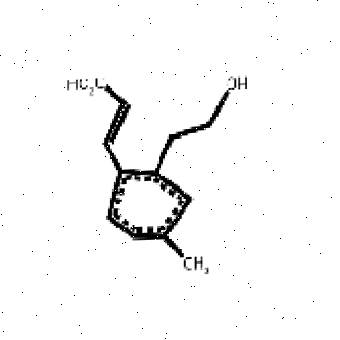 Cc1ccc(C=CC(=O)O)c(CCO)c1